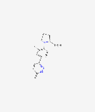 C=C1C=CC(c2ccc(N3CCCC3C(=O)OCC)c(C)c2)=NN1